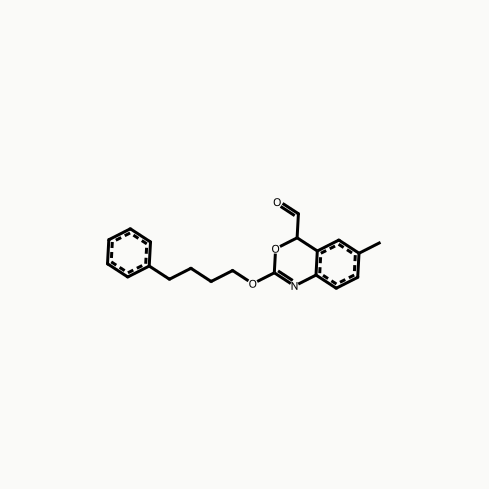 Cc1ccc2c(c1)C(C=O)OC(OCCCCc1ccccc1)=N2